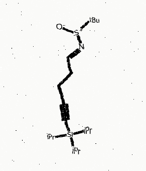 CC(C)[Si](C#CCCC=N[S+]([O-])C(C)(C)C)(C(C)C)C(C)C